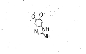 COc1cc2ncc(=N)[nH]c2cc1OC